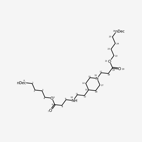 CCCCCCCCCCCCCCOC(=O)CCNCCC1CCN(CCC(=O)OCCCCCCCCCCCCCC)CC1